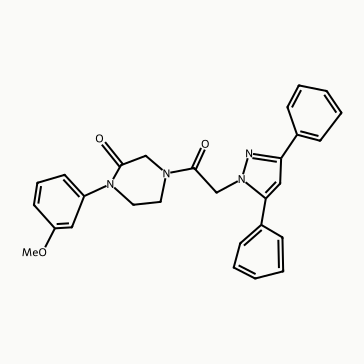 COc1cccc(N2CCN(C(=O)Cn3nc(-c4ccccc4)cc3-c3ccccc3)CC2=O)c1